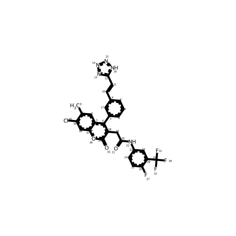 Cc1cc2c(-c3cccc(C=Cc4nnn[nH]4)c3)c(CC(=O)Nc3ccc(F)c(C(F)(F)F)c3)c(=O)oc2cc1Cl